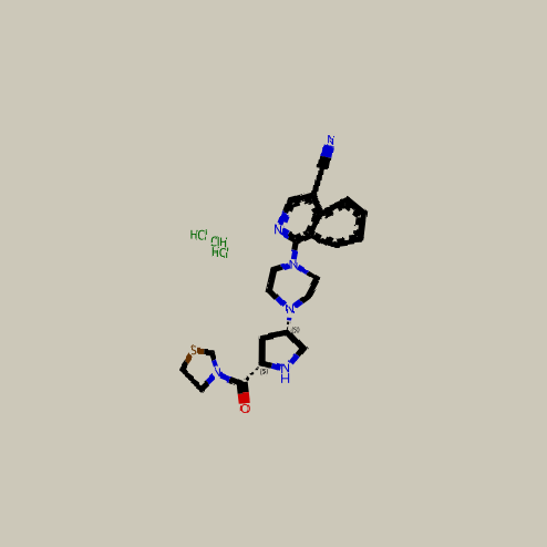 Cl.Cl.Cl.N#Cc1cnc(N2CCN([C@@H]3CN[C@H](C(=O)N4CCSC4)C3)CC2)c2ccccc12